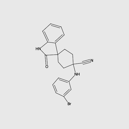 N#CC1(Nc2cccc(Br)c2)CCC2(CC1)C(=O)Nc1ccccc12